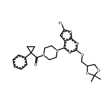 CCc1cc2c(N3CCN(C(=O)C4(c5ccccc5)CC4)CC3)nc(OCC3COC(C)(C)O3)nc2s1